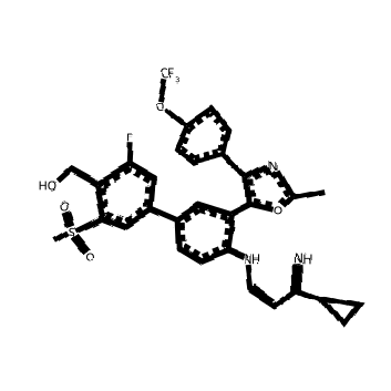 Cc1nc(-c2ccc(OC(F)(F)F)cc2)c(-c2cc(-c3cc(F)c(CO)c(S(C)(=O)=O)c3)ccc2N/C=C\C(=N)C2CC2)o1